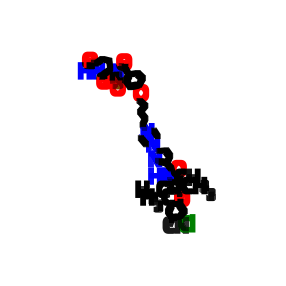 CC1(C)C(NC(=O)c2ccc(N3CCN(CCCCCOc4ccc5c(c4)S(=O)(=O)N(C4CCC(=O)NC4=O)C5=O)CC3)nc2)C(C)(C)C1Oc1ccc(C#N)c(Cl)c1